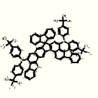 CC(C)(C)c1ccc(N(c2ccc(C(C)(C)C)cc2)c2cc3c(c4ccc5c6ccccc6oc5c24)-c2cc4c(cc2C32c3ccccc3-c3ccccc32)cc(N(c2ccc(C(C)(C)C)cc2)c2ccc(C(C)(C)C)cc2)c2c3ccccc3oc42)cc1